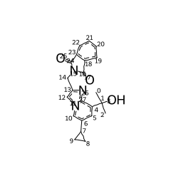 CC(C)(O)c1cc(C2CC2)cn2cc(CN3C(=O)c4ccccc4C3=O)nc12